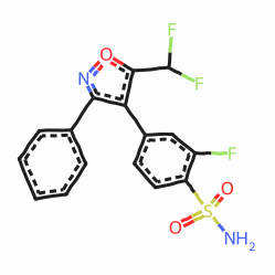 NS(=O)(=O)c1ccc(-c2c(-c3ccccc3)noc2C(F)F)cc1F